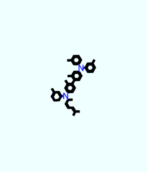 CC(C)=C/C=C\C(C)N(C1=CC(C)=CCC1)c1ccc(-c2ccc(N(c3cccc(C)c3)c3cccc(C)c3)cc2C)c(C)c1